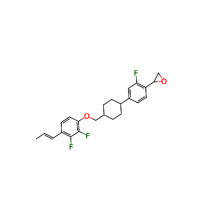 C/C=C/c1ccc(OCC2CCC(c3ccc(C4CO4)c(F)c3)CC2)c(F)c1F